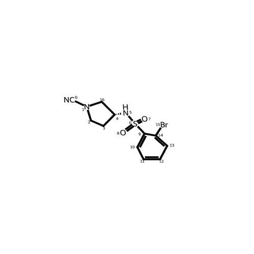 N#CN1CC[C@@H](NS(=O)(=O)c2ccccc2Br)C1